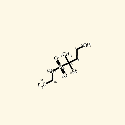 CCC(C)(CCO)S(=O)(=O)NCC(F)(F)F